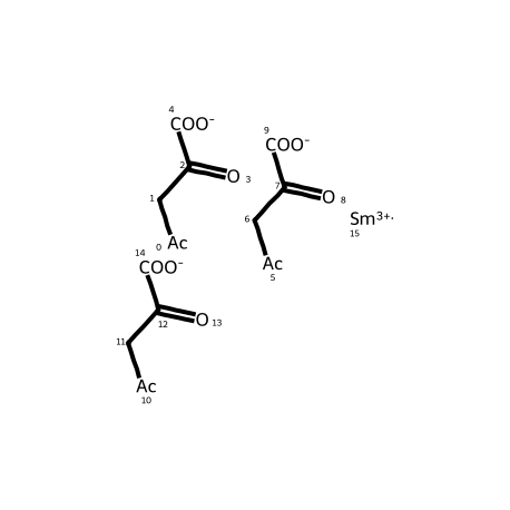 CC(=O)CC(=O)C(=O)[O-].CC(=O)CC(=O)C(=O)[O-].CC(=O)CC(=O)C(=O)[O-].[Sm+3]